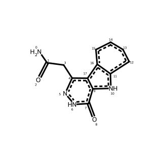 NC(=O)Cc1n[nH]c(=O)c2[nH]c3ccccc3c12